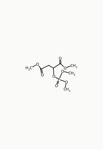 COC(=O)CC(OP(=O)(OC)OC)C(=O)OC